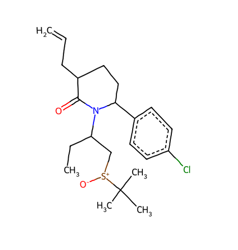 C=CCC1CCC(c2ccc(Cl)cc2)N(C(CC)C[S+]([O-])C(C)(C)C)C1=O